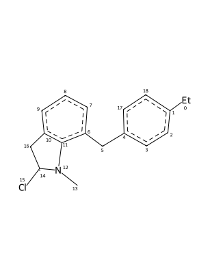 CCc1ccc(Cc2cccc3c2N(C)[C](Cl)C3)cc1